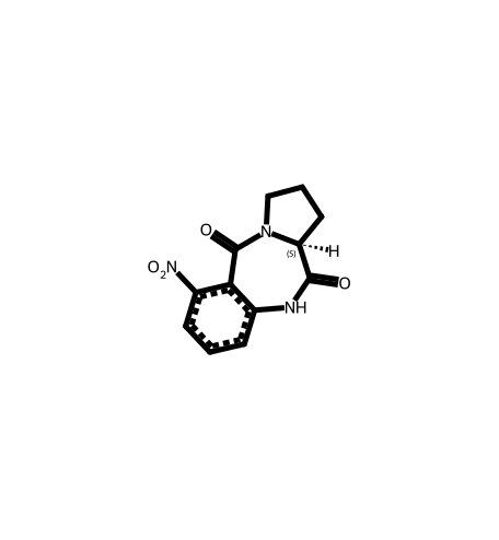 O=C1Nc2cccc([N+](=O)[O-])c2C(=O)N2CCC[C@@H]12